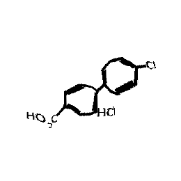 Cl.O=C(O)c1ccc(-c2ccc(Cl)cc2)cc1